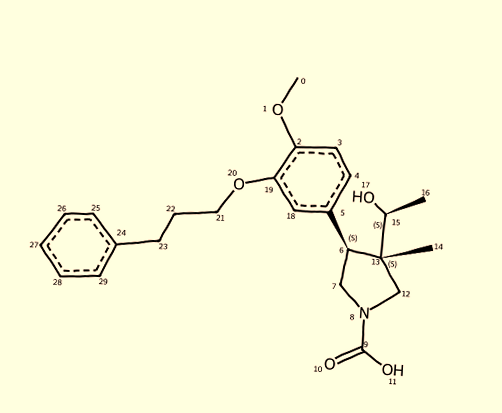 COc1ccc([C@@H]2CN(C(=O)O)C[C@@]2(C)[C@H](C)O)cc1OCCCc1ccccc1